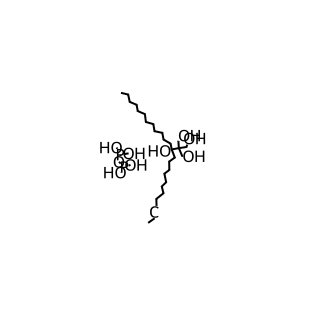 CCCCCCCCCCCCC(O)(CCCCCCCCCCCC)C(CO)(CO)CO.OP(O)OP(O)O